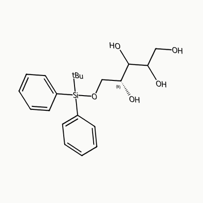 CC(C)(C)[Si](OC[C@@H](O)C(O)C(O)CO)(c1ccccc1)c1ccccc1